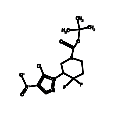 CC(C)(C)OC(=O)N1CCC(F)(F)C(n2ncc([N+](=O)[O-])c2Cl)C1